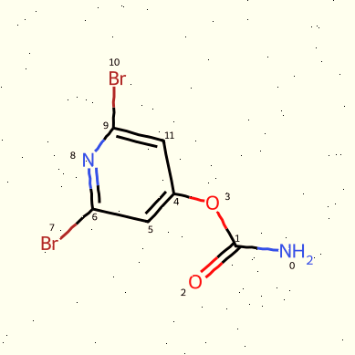 NC(=O)Oc1cc(Br)nc(Br)c1